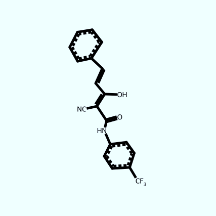 N#C/C(C(=O)Nc1ccc(C(F)(F)F)cc1)=C(O)\C=C\c1ccccc1